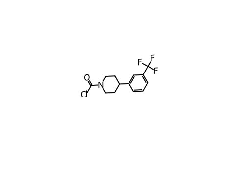 O=C(Cl)N1CCC(c2cccc(C(F)(F)F)c2)CC1